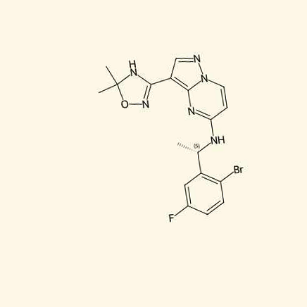 C[C@H](Nc1ccn2ncc(C3=NOC(C)(C)N3)c2n1)c1cc(F)ccc1Br